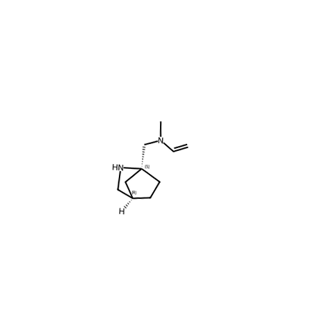 C=CN(C)C[C@@]12CC[C@@H](CN1)C2